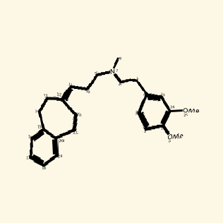 COc1ccc(CCN(C)CCC=C2CCc3ccccc3CC2)cc1OC